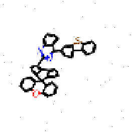 c1ccc2c(c1)Oc1ccccc1C21c2ccccc2-c2c(-c3nc(-c4ccc5c(c4)sc4ccccc45)c4ccccc4n3)cccc21